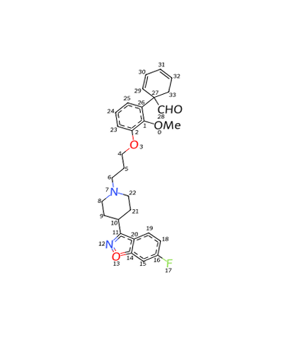 COc1c(OCCCN2CCC(c3noc4cc(F)ccc34)CC2)cccc1C1(C=O)C=CC=CC1